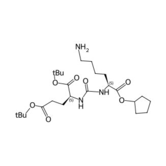 CC(C)(C)OC(=O)CC[C@H](NC(=O)N[C@@H](CCCCN)C(=O)OC1CCCC1)C(=O)OC(C)(C)C